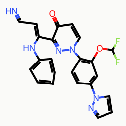 N=C/C=C(\Nc1ccccc1)c1nn(-c2ccc(-n3cccn3)cc2OC(F)F)ccc1=O